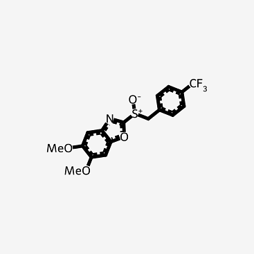 COc1cc2nc([S+]([O-])Cc3ccc(C(F)(F)F)cc3)oc2cc1OC